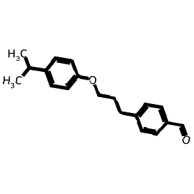 CC(C)c1ccc(OCCCc2ccc(C=O)cc2)cc1